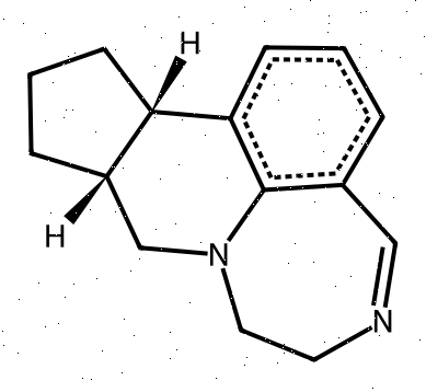 C1=NCCN2C[C@@H]3CCC[C@@H]3c3cccc1c32